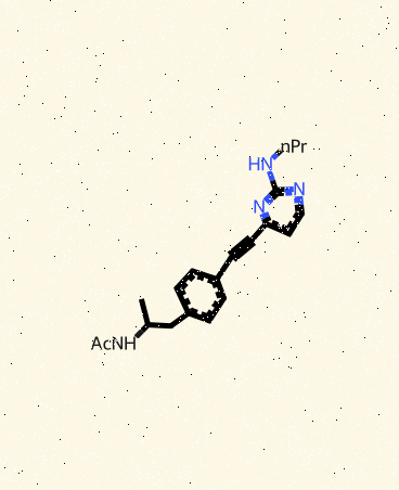 CCCNc1nccc(C#Cc2ccc(CC(C)NC(C)=O)cc2)n1